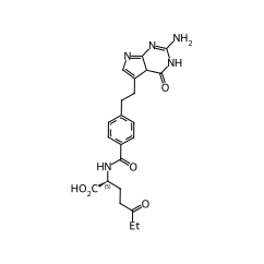 CCC(=O)CC[C@H](NC(=O)c1ccc(CCC2=CN=C3N=C(N)NC(=O)C23)cc1)C(=O)O